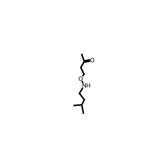 CC(=O)CCONCCC(C)C